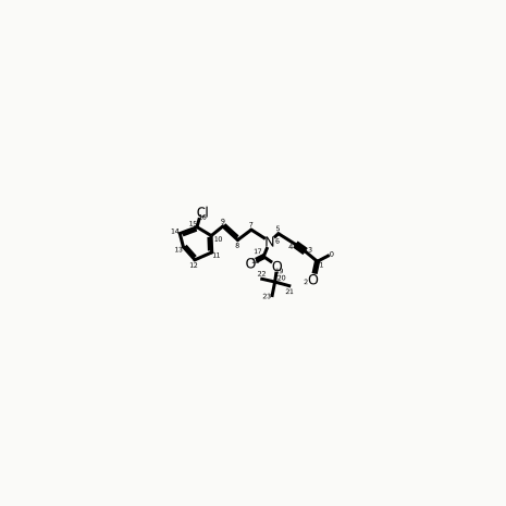 CC(=O)C#CCN(C/C=C/c1ccccc1Cl)C(=O)OC(C)(C)C